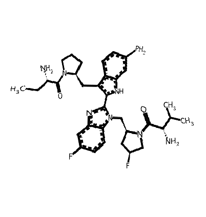 CC[C@H](N)C(=O)N1CCC[C@H]1Cc1c(-c2nc3cc(F)ccc3n2C[C@@H]2C[C@H](F)CN2C(=O)[C@@H](N)C(C)C)[nH]c2cc(P)ccc12